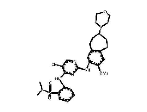 COc1cc2c(cc1Nc1ncc(Cl)c(Nc3ccccc3S(=O)(=O)N(C)C)n1)CCC(N1CCOCC1)CC2